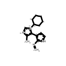 C=Nc1[nH]ccc1-c1c(C)ncn1C1CCCCC1